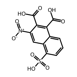 O=C(O)c1c([N+](=O)[O-])cc2c(S(=O)(=O)O)cccc2c1C(=O)O